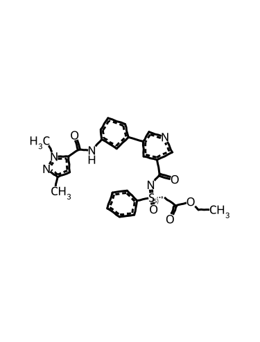 CCOC(=O)C[S@@](=O)(=NC(=O)c1cncc(-c2cccc(NC(=O)c3cc(C)nn3C)c2)c1)c1ccccc1